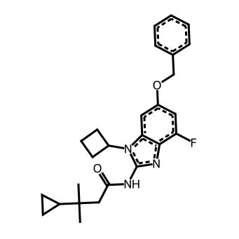 CC(C)(CC(=O)Nc1nc2c(F)cc(OCc3ccccc3)cc2n1C1CCC1)C1CC1